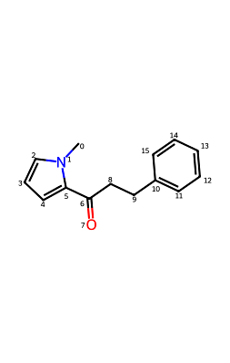 Cn1cccc1C(=O)CCc1ccccc1